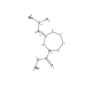 CC(C)(C)OC(=O)N1CCCC/C(=N\[S+]([O-])C(C)(C)C)C1